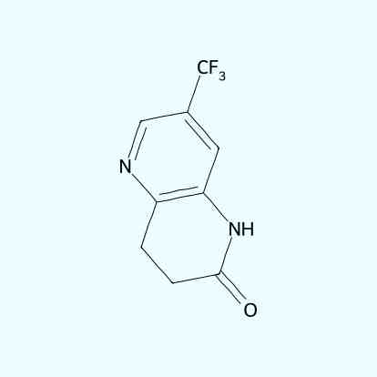 O=C1CCc2ncc(C(F)(F)F)cc2N1